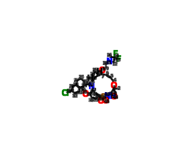 CC1(C)OCC=C[C@@H](OCCN2CC(F)(F)C2)[C@@H]2CC[C@H]2CN2C[C@@]3(CCCc4cc(Cl)ccc43)COc3ccc(cc32)S(=O)(=O)NC1=O